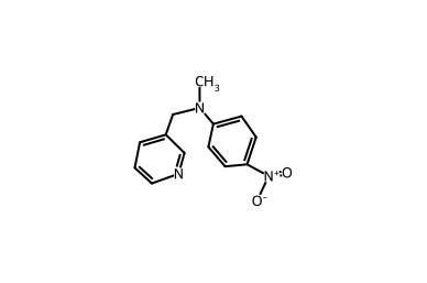 CN(Cc1cccnc1)c1ccc([N+](=O)[O-])cc1